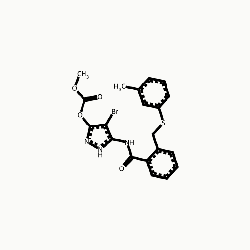 COC(=O)Oc1n[nH]c(NC(=O)c2ccccc2CSc2cccc(C)c2)c1Br